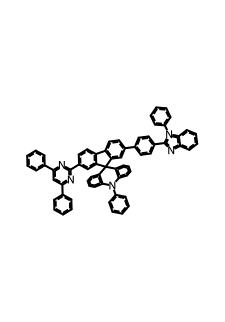 c1ccc(-c2cc(-c3ccccc3)nc(-c3ccc4c(c3)C3(c5cc(-c6ccc(-c7nc8ccccc8n7-c7ccccc7)cc6)ccc5-4)c4ccccc4N(c4ccccc4)c4ccccc43)n2)cc1